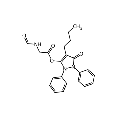 CCCCc1c(OC(=O)CNC=O)n(-c2ccccc2)n(-c2ccccc2)c1=O